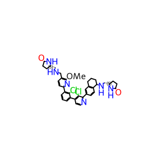 COc1nc(-c2cccc(-c3ccnc(-c4ccc5c(c4)CCCC5NC[C@@H]4CCC(=O)N4)c3Cl)c2Cl)ccc1CNC[C@@H]1CCC(=O)N1